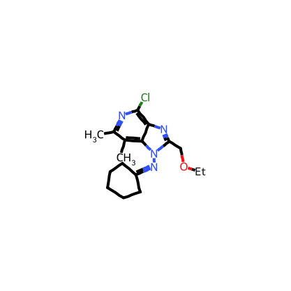 CCOCc1nc2c(Cl)nc(C)c(C)c2n1N=C1CCCCC1